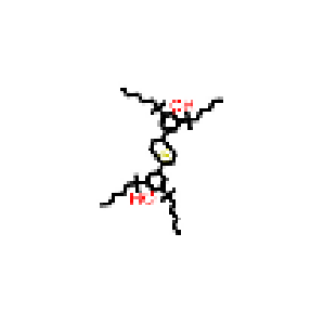 CCCCCC(C)(C)c1cc(C2CCC3SC2CCC3c2cc(C(C)(C)CCCCC)c(O)c(C(C)(C)CCCCC)c2)cc(C(C)(C)CCCCC)c1O